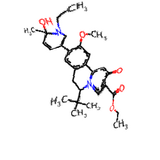 CCOC(=O)c1cn2c(cc1=O)-c1cc(OC)c(C3=CN(CC)C(C)(O)C=C3)cc1CC2C(C)(C)C